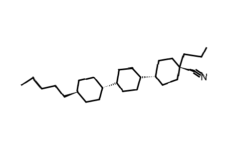 CCCCC[C@H]1CC[C@H](C2CCC([C@H]3CC[C@@](C#N)(CCC)CC3)CC2)CC1